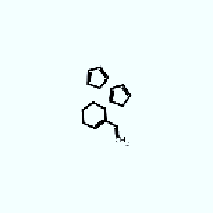 C1=CCC=C1.C1=CCC=C1.C=CC1=CCCCC1